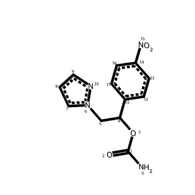 NC(=O)OC(Cn1cccn1)c1ccc([N+](=O)[O-])cc1